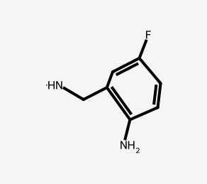 [NH]Cc1cc(F)ccc1N